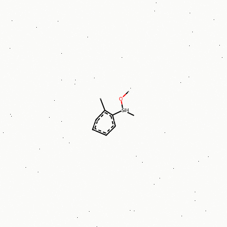 CO[SiH](C)c1ccccc1C